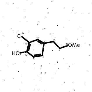 COCCc1ccc(O)c(Cl)c1